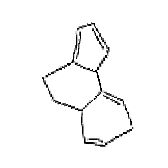 [C]1CC2C=CCC=C2C2C=CC=C12